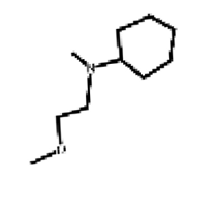 COCCN(C)C1CCCCC1